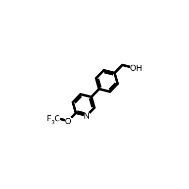 OCc1ccc(-c2ccc(OC(F)(F)F)nc2)cc1